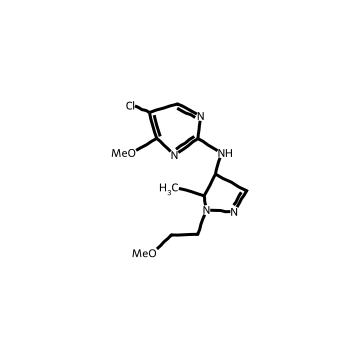 COCCN1N=CC(Nc2ncc(Cl)c(OC)n2)C1C